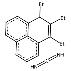 CCC1=C(CC)C(CC)c2cccc3cccc1c23.N=C=N